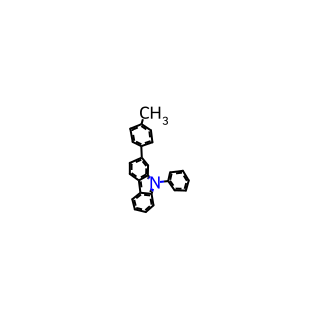 Cc1ccc(-c2ccc3c4ccccc4n(-c4ccccc4)c3c2)cc1